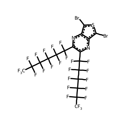 FC(F)(F)C(F)(F)C(F)(F)C(F)(F)C(F)(F)C(F)(F)c1nc2c(Br)sc(Br)c2nc1C(F)(F)C(F)(F)C(F)(F)C(F)(F)C(F)(F)C(F)(F)F